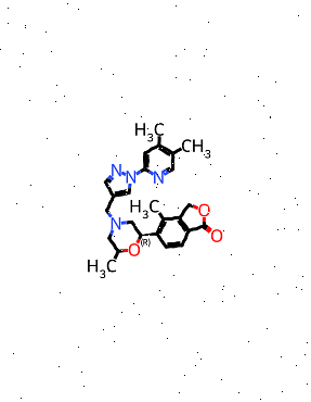 Cc1cnc(-n2cc(CN3CC(C)O[C@H](c4ccc5c(c4C)COC5=O)C3)cn2)cc1C